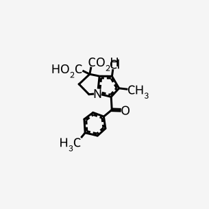 Cc1ccc(C(=O)c2c(C)c(Cl)c3n2CCC3(C(=O)O)C(=O)O)cc1